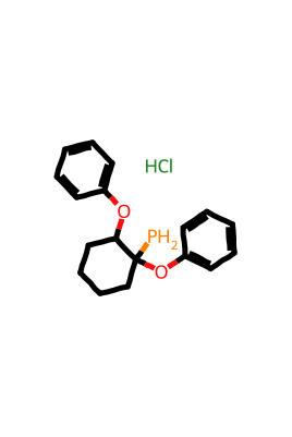 Cl.PC1(Oc2ccccc2)CCCCC1Oc1ccccc1